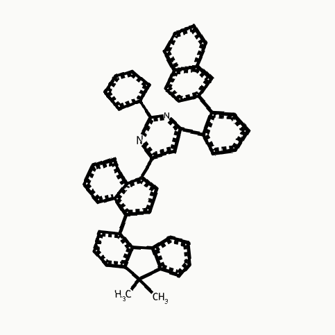 CC1(C)c2ccccc2-c2c(-c3ccc(-c4cc(-c5ccccc5-c5ccc6ccccc6c5)nc(-c5ccccc5)n4)c4ccccc34)cccc21